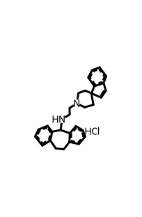 C1=CC2(CCN(CCNC3c4ccccc4CCc4ccccc43)CC2)c2ccccc21.Cl